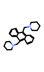 c1ccc2c(CN3CCCCC3)c3ccccc3c(CN3CCCCC3)c2c1